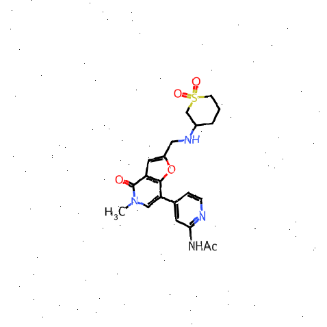 CC(=O)Nc1cc(-c2cn(C)c(=O)c3cc(CNC4CCCS(=O)(=O)C4)oc23)ccn1